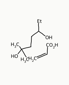 C=CC(=O)O.CCC(O)CCC(C)(C)O